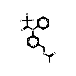 CC(=O)OCc1cccc(N(C(=O)C(F)(F)F)c2ccccc2)c1